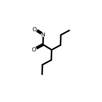 CCCC(CCC)C(=O)N=O